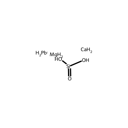 O=[Si](O)O.[CaH2].[MgH2].[PbH2]